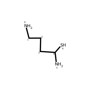 NCCCC(N)S